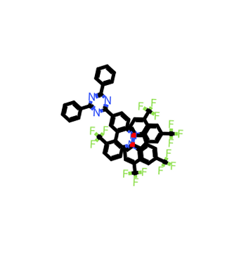 FC(F)(F)c1ccc2c(c1)c1cc(C(F)(F)F)ccc1n2-c1ccc(-c2nc(-c3ccccc3)nc(-c3ccccc3)n2)cc1-c1c(-n2c3ccc(C(F)(F)F)cc3c3cc(C(F)(F)F)ccc32)cccc1C(F)(F)F